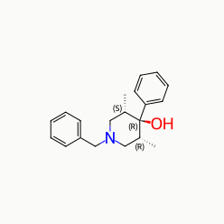 C[C@@H]1CN(Cc2ccccc2)C[C@H](C)[C@]1(O)c1ccccc1